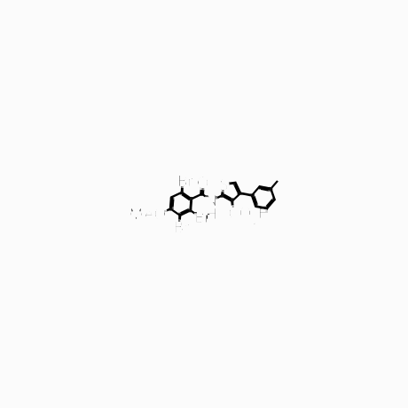 COc1cc(Br)c(C(=O)Nc2scc(-c3cccc(C)c3)c2C(=O)O)c(Br)c1Br